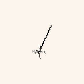 CCCCCCCCCCCCCCCCCCNC(N)=C(N)N